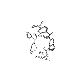 CC(C)(C)OC(=O)n1ccc2ccc(NC(=O)c3ccc([N+](=O)[O-])cc3NC(=O)OC(c3ccncc3)C3CCNCC3)cc21